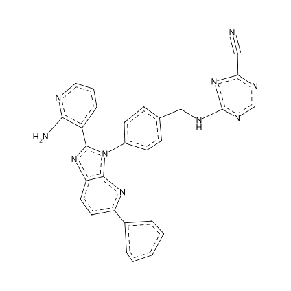 N#Cc1ncnc(NCc2ccc(-n3c(-c4cccnc4N)nc4ccc(-c5ccccc5)nc43)cc2)n1